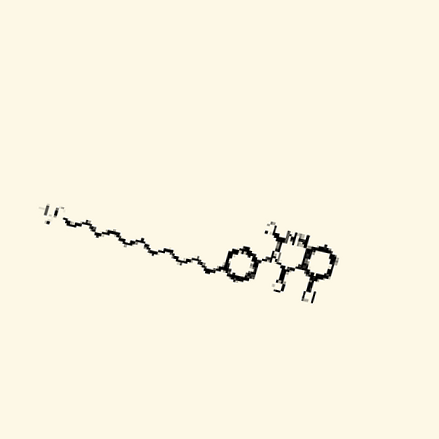 CCCCCCCCCCCCc1ccc(N(C(N)=O)C(=O)c2c(Cl)cccc2Cl)cc1